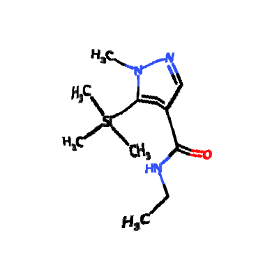 CCNC(=O)c1cnn(C)c1[Si](C)(C)C